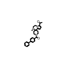 CC(=O)c1ccc2n1CCN(C)C21CCN(C(=O)c2ccc(-c3ccccc3)cc2)CC1